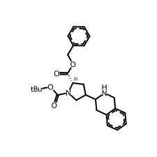 CC(C)(C)OC(=O)N1CC(C2Cc3ccccc3CN2)C[C@H]1C(=O)OCc1ccccc1